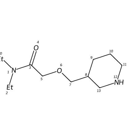 CCN(CC)C(=O)COCC1CCCNC1